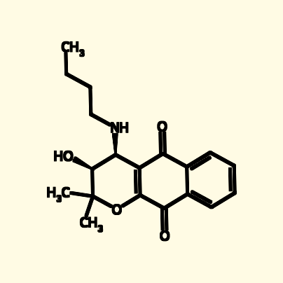 CCCCN[C@H]1C2=C(OC(C)(C)[C@H]1O)C(=O)c1ccccc1C2=O